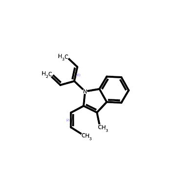 C=C/C(=C\C)n1c(/C=C\C)c(C)c2ccccc21